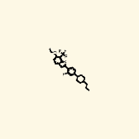 CCCC1CCC(c2ccc(-c3cc4ccc(OCC)c(C(F)(F)F)c4s3)c(F)c2)CC1